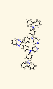 c1ccc2nc(-c3ccc(N(c4ccncc4)c4ccc(-n5c6ccccc6c6ccccc65)cc4)cc3)c(-c3ccc(N(c4ccncc4)c4ccc(-n5c6ccccc6c6ccccc65)cc4)cc3)nc2c1